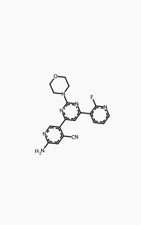 N#Cc1cc(N)ncc1-c1cc(-c2cccnc2F)nc(N2CCOCC2)n1